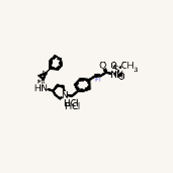 CS(=O)(=O)NC(=O)/C=C/c1ccc(CN2CCC(N[C@@H]3C[C@H]3c3ccccc3)CC2)cc1.Cl.Cl